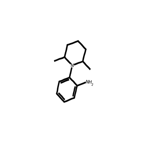 CC1CCCC(C)N1c1ccccc1N